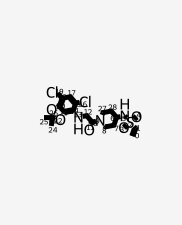 C=CS(=O)(=O)NC1CCN(C(=O)CNc2c(Cl)cc(Cl)c3c2OC(C)(C)O3)CC1